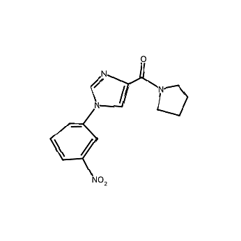 O=C(c1cn(-c2cccc([N+](=O)[O-])c2)cn1)N1CCCC1